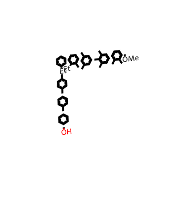 CCc1ccccc1.CCc1ccccc1C.CO.COC.Cc1ccc(C)cc1.Cc1cccc(C)c1.Cc1cccc(C)c1C.Cc1ccccc1.Cc1ccccc1C.c1ccccc1